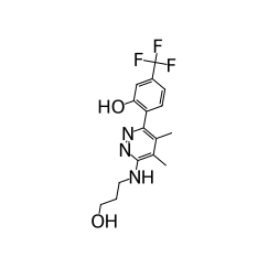 Cc1c(NCCCO)nnc(-c2ccc(C(F)(F)F)cc2O)c1C